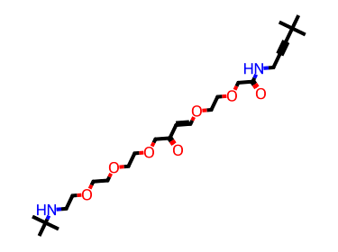 CC(C)(C)C#CCNC(=O)COCCO/C=C/C(=O)COCCOCCOCCNC(C)(C)C